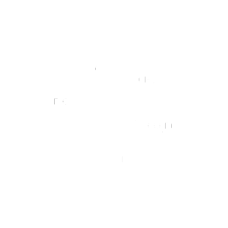 CCOC(=O)c1c(F)cc(C(F)(F)F)c(Cl)c1C